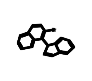 Brc1ccc2ccccc2c1C1C=Cc2ccccc21